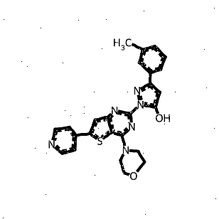 Cc1cccc(-c2cc(O)n(-c3nc(N4CCOCC4)c4sc(-c5ccncc5)cc4n3)n2)c1